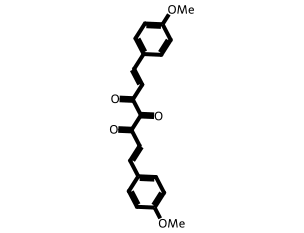 COc1ccc(C=CC(=O)C(=O)C(=O)C=Cc2ccc(OC)cc2)cc1